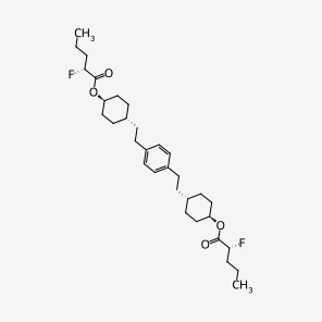 CCC[C@@H](F)C(=O)O[C@H]1CC[C@H](CCc2ccc(CC[C@H]3CC[C@H](OC(=O)[C@H](F)CCC)CC3)cc2)CC1